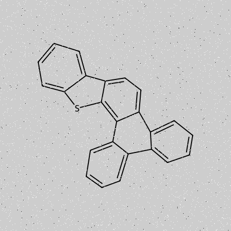 c1ccc2c(c1)sc1c2ccc2c3ccccc3c3ccccc3c21